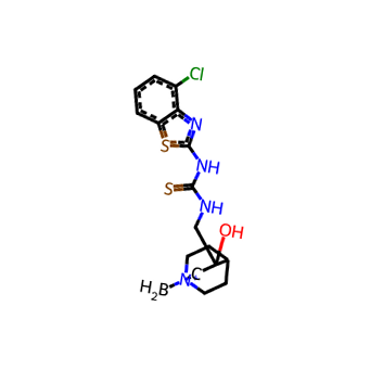 B[N+]12CCC(CC1)C(O)(CNC(=S)Nc1nc3c(Cl)cccc3s1)C2